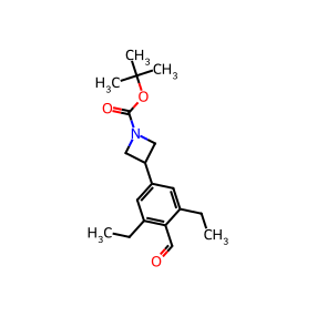 CCc1cc(C2CN(C(=O)OC(C)(C)C)C2)cc(CC)c1C=O